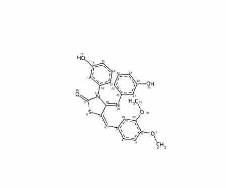 COc1ccc(C=C2SC(=O)N(c3cccc(O)c3)C2=Nc2cccc(O)c2)cc1OC